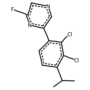 CC(C)c1ccc(-c2cncc(F)n2)c(Cl)c1Cl